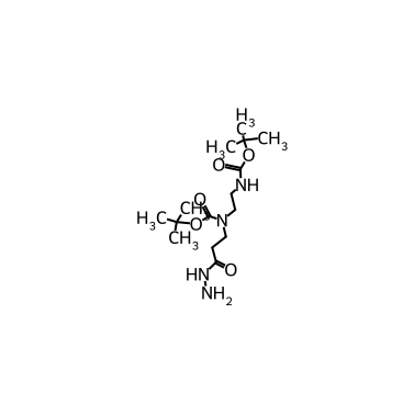 CC(C)(C)OC(=O)NCCN(CCC(=O)NN)C(=O)OC(C)(C)C